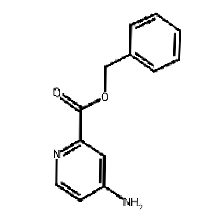 Nc1ccnc(C(=O)OCc2ccccc2)c1